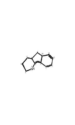 C1=CC2=C3NCCCC3CC2C=C1